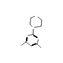 Cc1[c]c(C)nc(N2CCOCC2)n1